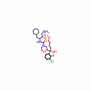 COCCCCC(O)(c1cccc(Cl)c1F)C1CN(C(=O)NC(CC2CCCCC2)C(O)CN)CCO1